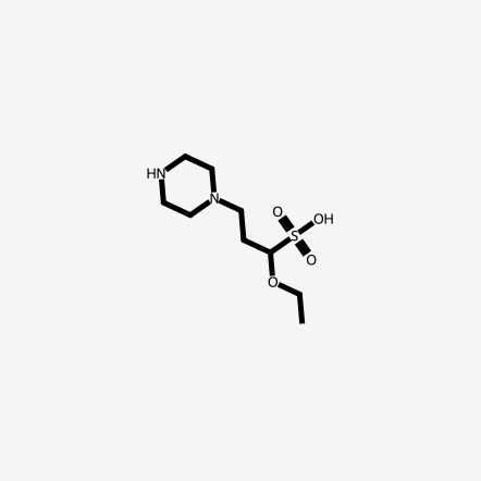 CCOC(CCN1CCNCC1)S(=O)(=O)O